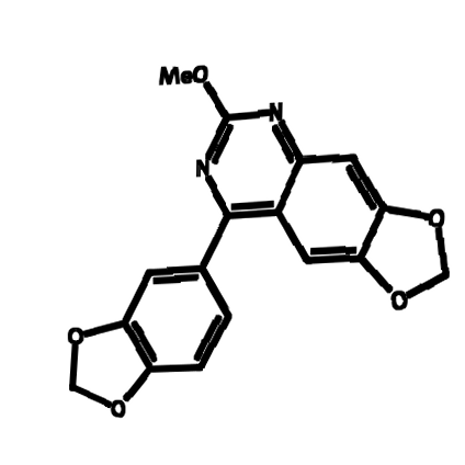 COc1nc(-c2ccc3c(c2)OCO3)c2cc3c(cc2n1)OCO3